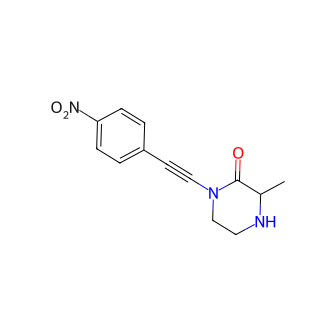 CC1NCCN(C#Cc2ccc([N+](=O)[O-])cc2)C1=O